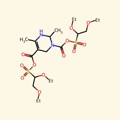 CCOCC(OCC)S(=O)(=O)OC(=O)C1=C(C)NC(C)N(C(=O)OS(=O)(=O)C(COCC)OCC)C1